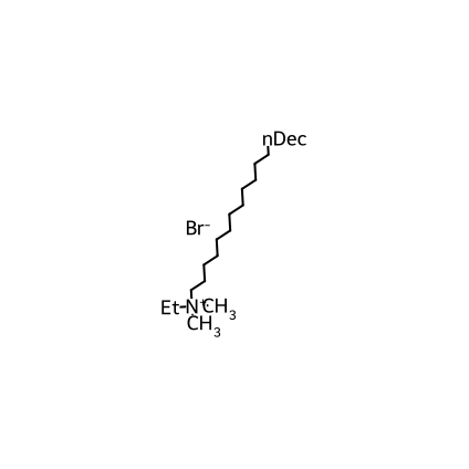 CCCCCCCCCCCCCCCCCCCCCC[N+](C)(C)CC.[Br-]